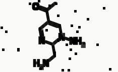 CC(=O)C1=CN(N)C(CN)N=C1